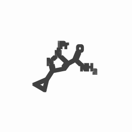 CC(C)n1nc(C2CC2)cc1C(N)=O